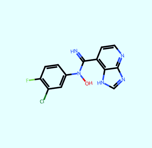 N=C(c1ccnc2nc[nH]c12)N(O)c1ccc(F)c(Cl)c1